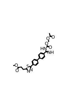 COC(=O)CCc1nnc(-c2ccc(-c3ccc(C(=N)NC(=O)OCOC(C)=O)cc3)cc2)s1